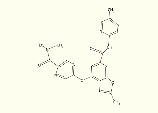 CCN(C)C(=O)c1cnc(Oc2cc(C(=O)Nc3cnc(C)cn3)cc3oc(C)cc23)cn1